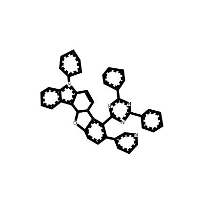 C1=CC2c3c(ccc(-c4cccnc4)c3-c3nc(-c4ccccc4)nc(-c4ccccc4)n3)OC2c2c1n(-c1ccccc1)c1ccccc21